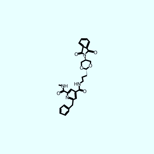 CNC(=O)c1cc(C(=O)NCCC[C@H]2OC[C@H](N3C(=O)c4ccccc4C3=O)CO2)cc(Cc2ccccc2)n1